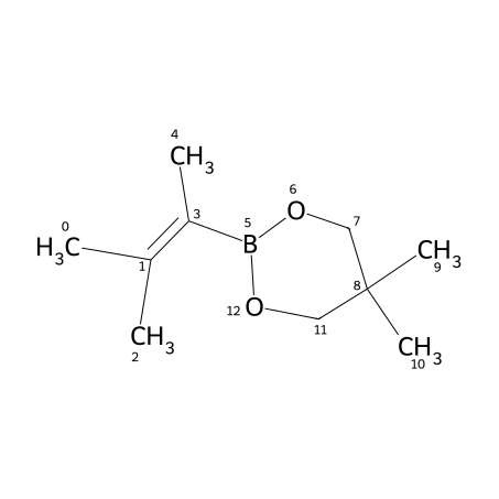 CC(C)=C(C)B1OCC(C)(C)CO1